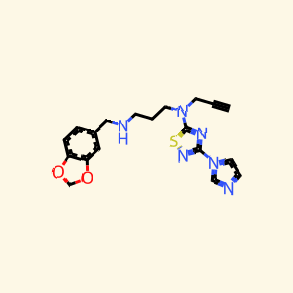 C#CCN(CCCNCc1ccc2c(c1)OCO2)c1nc(-n2ccnc2)ns1